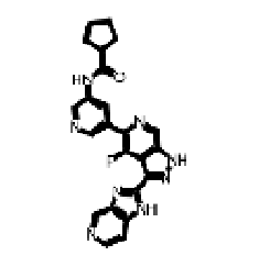 O=C(Nc1cncc(-c2ncc3[nH]nc(-c4nc5cnccc5[nH]4)c3c2F)c1)C1CCCC1